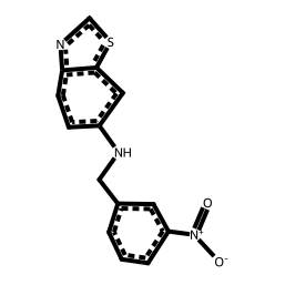 O=[N+]([O-])c1cccc(CNc2ccc3ncsc3c2)c1